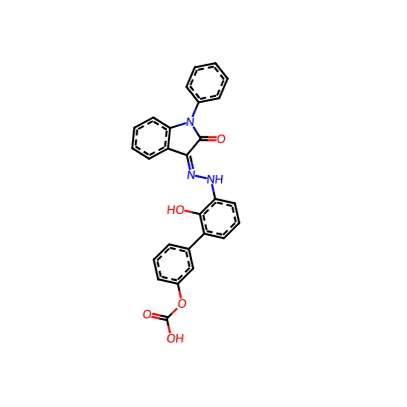 O=C(O)Oc1cccc(-c2cccc(NN=C3C(=O)N(c4ccccc4)c4ccccc43)c2O)c1